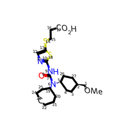 COC[C@H]1CC[C@H](N(C(=O)Nc2ncc(SCCC(=O)O)s2)C2CCCCCC2)CC1